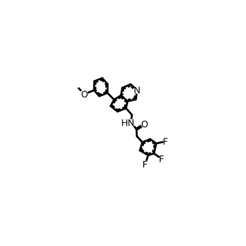 COc1cccc(-c2ccc(CNC(=O)Cc3cc(F)c(F)c(F)c3)c3cnccc23)c1